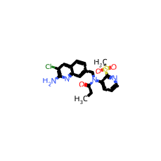 CCC(=O)N(Cc1ccc2cc(Cl)c(N)nc2c1)c1cccnc1S(C)(=O)=O